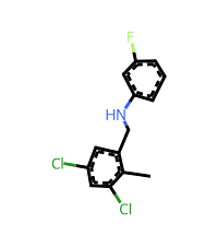 Cc1c(Cl)cc(Cl)cc1CNc1cccc(F)c1